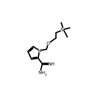 C[Si](C)(C)CCOCn1cccc1C(=N)N